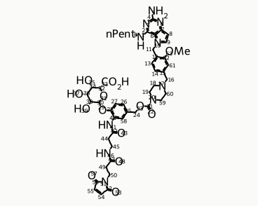 CCCCCNc1nc(N)nc2ccn(Cc3ccc(CN4CCN(C(=O)OCc5ccc(OC6O[C@@H](C(=O)O)[C@@H](O)[C@@H](O)[C@@H]6O)c(NC(=O)CCNC(=O)CCN6C(=O)C=CC6=O)c5)CC4)cc3OC)c12